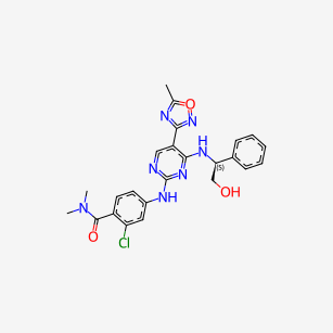 Cc1nc(-c2cnc(Nc3ccc(C(=O)N(C)C)c(Cl)c3)nc2N[C@H](CO)c2ccccc2)no1